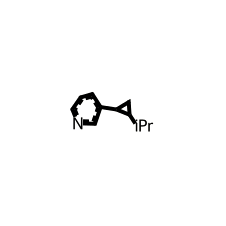 CC(C)C1CC1c1cccnc1